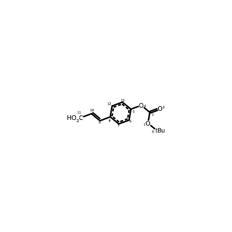 CC(C)(C)OC(=O)Oc1ccc(C=CC(=O)O)cc1